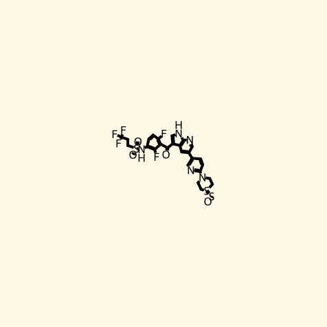 O=S=S1CCN(c2ccc(-c3cnc4[nH]cc(C(=O)c5c(F)ccc(NS(=O)(=O)CCC(F)(F)F)c5F)c4c3)cn2)CC1